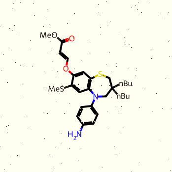 CCCCC1(CCCC)CSc2cc(O/C=C/C(=O)OC)c(SC)cc2N(c2ccc(N)cc2)C1